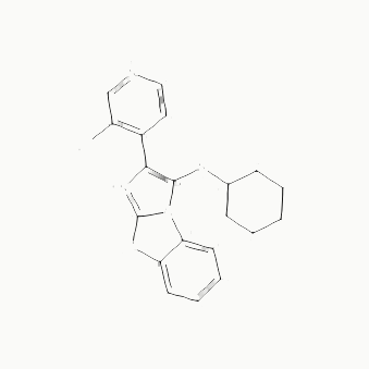 Fc1cnccc1-c1nc2sc3ccccc3n2c1NC1CCCCC1